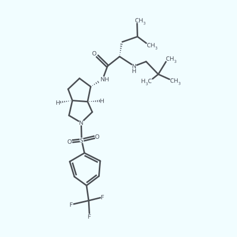 CC(C)C[C@H](NCC(C)(C)C)C(=O)N[C@H]1CC[C@@H]2CN(S(=O)(=O)c3ccc(C(F)(F)F)cc3)C[C@@H]21